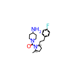 C[C@@H]1CC[C@H](CCc2ccc(F)cc2)N1C(=O)N1CCC(N)CC1